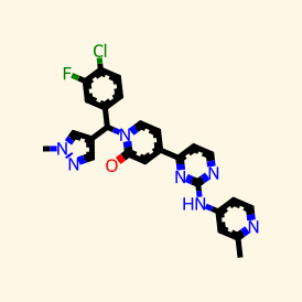 Cc1cc(Nc2nccc(-c3ccn(C(c4ccc(Cl)c(F)c4)c4cnn(C)c4)c(=O)c3)n2)ccn1